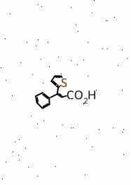 O=C(O)/C=C(/c1ccccc1)c1cccs1